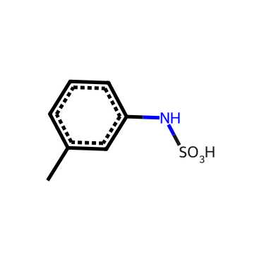 Cc1cccc(NS(=O)(=O)O)c1